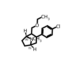 CCOCC1C(c2ccc(Cl)cc2)C[C@@H]2CC[C@H]1N2C